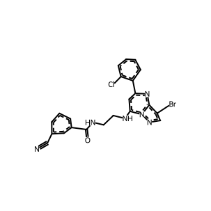 N#Cc1cccc(C(=O)NCCNc2cc(-c3ccccc3Cl)nc3c(Br)cnn23)c1